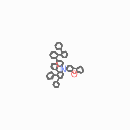 c1ccc(-c2ccccc2-c2ccccc2-c2ccc(N(c3ccc4c(c3)oc3ccccc34)c3ccc(-c4ccccc4)c(-c4ccccc4)c3-c3ccccc3)cc2)cc1